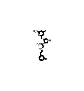 Cc1cc(N)nc(C[C@@H]2CNC[C@@H]2C(N)CNCCc2cccc(F)c2)c1